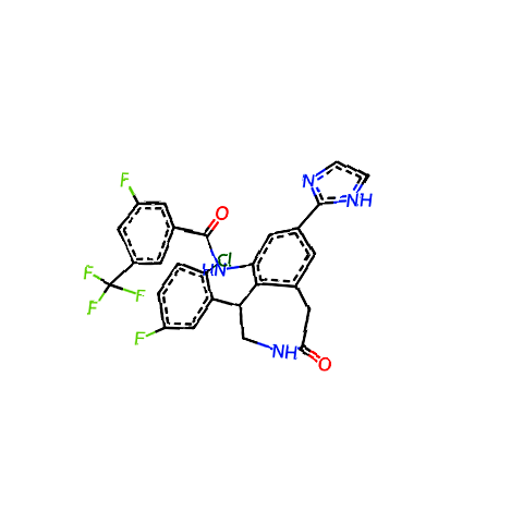 O=C1Cc2cc(-c3ncc[nH]3)cc(NC(=O)c3cc(F)cc(C(F)(F)F)c3)c2C(c2cc(F)ccc2Cl)CN1